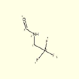 O=CN[CH]C(F)(F)F